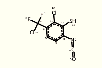 O=C=Nc1ccc(C(F)(F)Cl)c(Cl)c1S